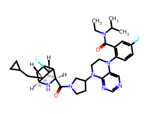 CCN(C(=O)c1cc(F)ccc1N1CCN(C2CCN(C(=O)[C@H]3N[C@H]4CCC3[C@@H](F)[C@H]4CC3CC3)C2)c2ncncc21)C(C)C